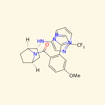 COc1ccc(C(=O)N2[C@@H]3CC[C@H]2[C@H](Nc2cnc(C(F)(F)F)cn2)C3)c(-c2ncccn2)c1